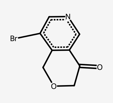 O=C1COCc2c(Br)cncc21